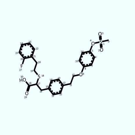 CS(=O)(=O)Oc1ccc(OCCc2ccc(CC(SCCc3ccccc3F)C(=O)O)cc2)cc1